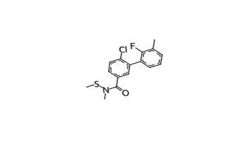 CSN(C)C(=O)c1ccc(Cl)c(-c2cccc(C)c2F)c1